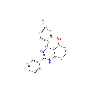 OC1CCCC2NC(c3ccccn3)=NC(c3ccc(F)cc3)C12